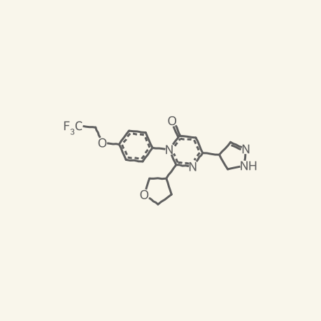 O=c1cc(C2C=NNC2)nc(C2CCOC2)n1-c1ccc(OCC(F)(F)F)cc1